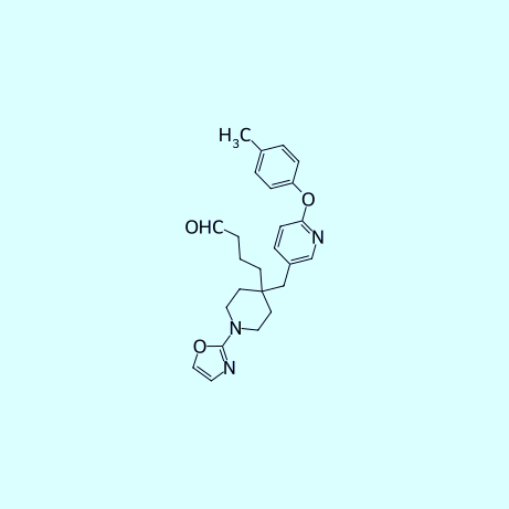 Cc1ccc(Oc2ccc(CC3(CCCC=O)CCN(c4ncco4)CC3)cn2)cc1